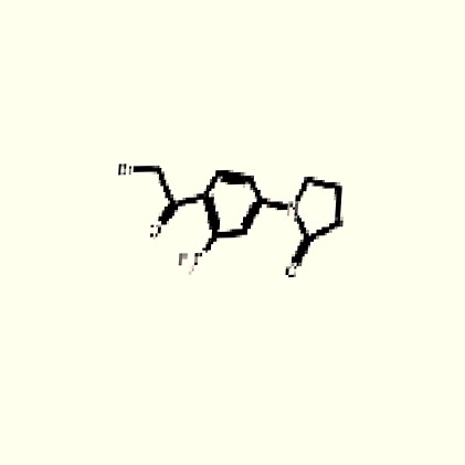 O=C(CBr)c1ccc(N2CCCC2=O)cc1C(F)(F)F